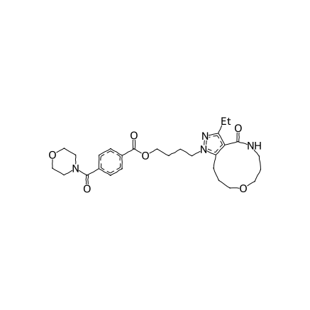 CCc1nn(CCCCOC(=O)c2ccc(C(=O)N3CCOCC3)cc2)c2c1C(=O)NCCCOCCC2